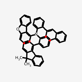 CC1(C)c2ccccc2-c2c(-c3ccccc3N(c3ccccc3-c3ccc4ccccc4c3)c3cccc4oc5ccccc5c34)cccc21